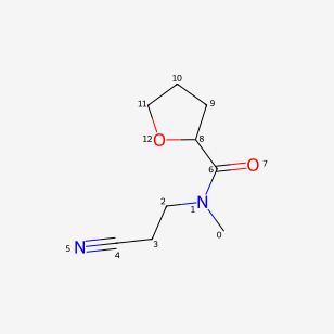 CN(CCC#N)C(=O)C1CCCO1